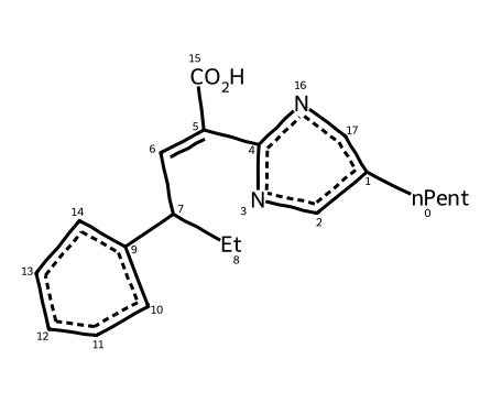 CCCCCc1cnc(/C(=C\C(CC)c2ccccc2)C(=O)O)nc1